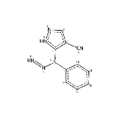 N#Cc1cn[nH]c1N(N=N)c1ccccc1